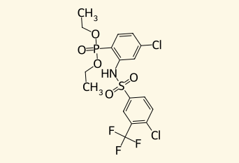 CCOP(=O)(OCC)c1ccc(Cl)cc1NS(=O)(=O)c1ccc(Cl)c(C(F)(F)F)c1